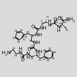 C[C@@H](CNC(=O)NC(CNC(=O)N[C@H](CNC(=O)NCCN)Cc1ccccc1)Cc1ccccc1)NC(=O)N[C@H](C)C(N)=O